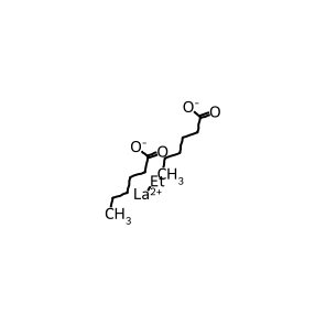 CCCCCC(=O)[O-].CCCCCC(=O)[O-].C[CH2][La+2]